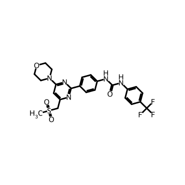 CS(=O)(=O)Cc1cc(N2CCOCC2)nc(-c2ccc(NC(=O)Nc3ccc(C(F)(F)F)cc3)cc2)n1